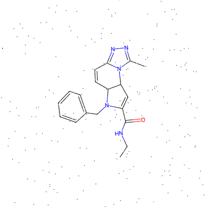 CCNC(=O)C1=CC2C(C=Cc3nnc(C)n32)N1Cc1ccccc1